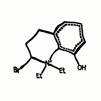 CC[N+]1(CC)c2c(O)cccc2CCC1Br